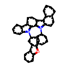 c1ccc(-n2c3ccc4ccccc4c3c3ccc4c5ccccc5n(-c5ccc6oc7ccccc7c6c5)c4c32)cc1